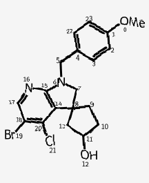 COc1ccc(CN2CC3(CCC(O)C3)c3c2ncc(Br)c3Cl)cc1